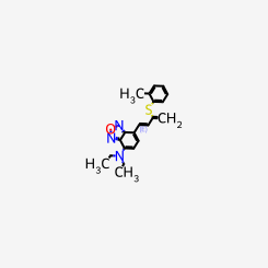 C=C(/C=C/c1ccc(N(CC)CC)c2nonc12)Sc1ccccc1C